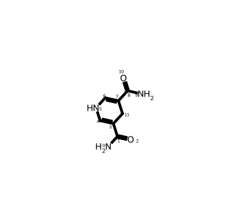 NC(=O)C1=CNC=C(C(N)=O)C1